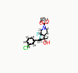 CC(C)(C)OC(=O)N1CCC(C(C)(O)C#Cc2cccc(Cl)c2)C(F)(F)C1